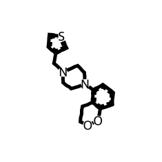 c1cc2c(c(N3CCN(Cc4ccsc4)CC3)c1)CCOO2